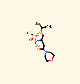 CC(OCC(CC(=O)N1CCOCC1)N(C(C)(C)C)S(C)(=O)=O)C(C)(C)C